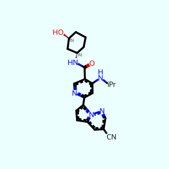 CC(C)Nc1cc(-c2ccc3cc(C#N)cnn23)ncc1C(=O)N[C@H]1CCC[C@H](O)C1